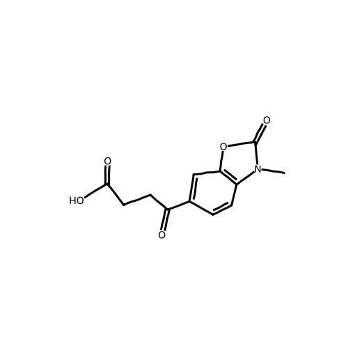 Cn1c(=O)oc2cc(C(=O)CCC(=O)O)ccc21